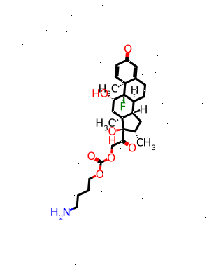 C[C@H]1C[C@H]2[C@@H]3CCC4=CC(=O)C=C[C@]4(C)[C@@]3(F)[C@@H](O)C[C@]2(C)[C@@]1(O)C(=O)COC(=O)OCCCCN